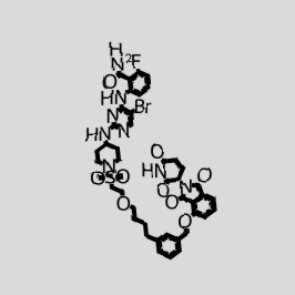 NC(=O)c1c(F)cccc1Nc1nc(NC2CCN(S(=O)(=O)CCOCCCCc3cccc(COc4cccc5c4C(=O)N(C4CCC(=O)NC4=O)C5=O)c3)CC2)ncc1Br